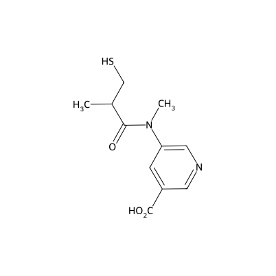 CC(CS)C(=O)N(C)c1cncc(C(=O)O)c1